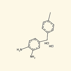 Cc1ccc(Cc2ccc(N)c(N)c2)cc1.Cl.Cl